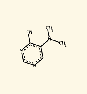 CN(C)c1cncnc1C#N